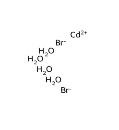 O.O.O.O.[Br-].[Br-].[Cd+2]